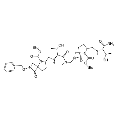 C[C@@H](O)[C@H](NCC1CCC2(CN(CN(C)C(=O)[C@@H](NCC3CCC4(CN(OCc5ccccc5)C4=O)N3C(=O)OC(C)(C)C)[C@@H](C)O)C2=O)N1C(=O)OC(C)(C)C)C(N)=O